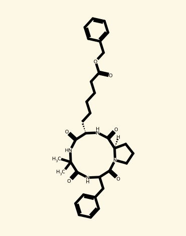 CC1(C)NC(=O)[C@H](CCCCCC(=O)OCc2ccccc2)NC(=O)[C@H]2CCCN2C(=O)C(Cc2ccccc2)NC1=O